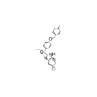 CCOC(c1ccc(OCc2ccc(C)cc2)cc1)c1nc2cc(Cl)cnc2[nH]1